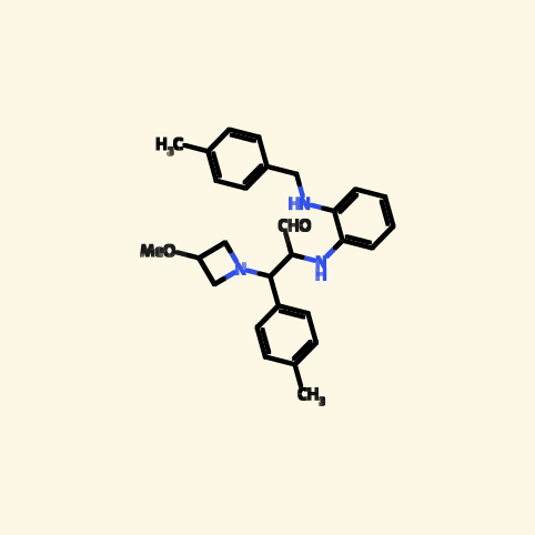 COC1CN(C(c2ccc(C)cc2)C(C=O)Nc2ccccc2NCc2ccc(C)cc2)C1